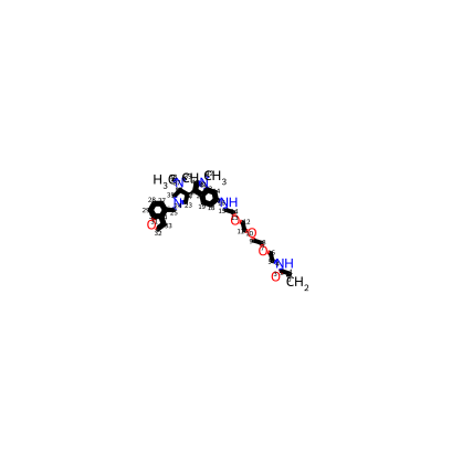 C=CC(=O)NCCOCCOCCOCCNc1ccc2c([C@H]3CN(Cc4cccc5occc45)C[C@@H]3N(C)C)cn(C)c2c1